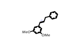 COc1cc(/C=C/Cc2ccccc2)cc(OC)c1